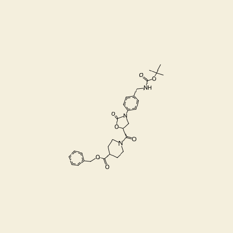 CC(C)(C)OC(=O)NCc1ccc(N2CC(C(=O)N3CCC(C(=O)OCc4ccccc4)CC3)OC2=O)cc1